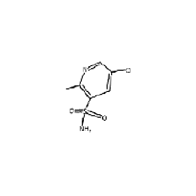 Cc1ncc(Cl)cc1S(N)(=O)=O